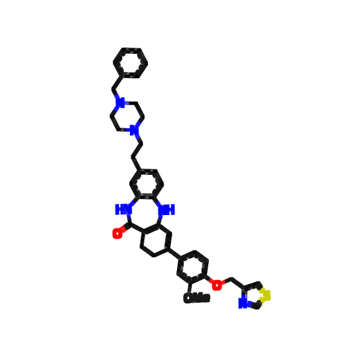 COc1cc(C2=CC3=C(CC2)C(=O)Nc2cc(CCN4CCN(Cc5ccccc5)CC4)ccc2N3)ccc1OCc1cscn1